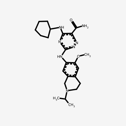 COc1cc2c(cc1Nc1nnc(C(N)=O)c(NC3CCCCC3)n1)CN(C(C)C)CC2